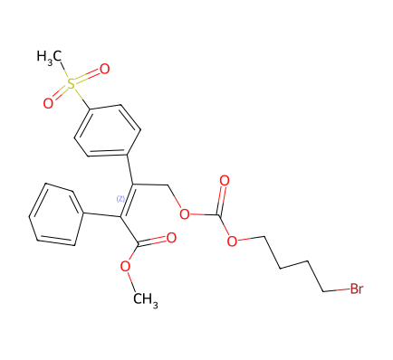 COC(=O)/C(=C(\COC(=O)OCCCCBr)c1ccc(S(C)(=O)=O)cc1)c1ccccc1